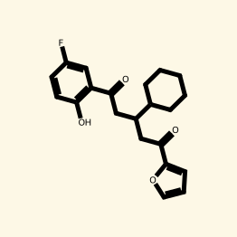 O=C(CC(CC(=O)c1cc(F)ccc1O)C1CCCCC1)c1ccco1